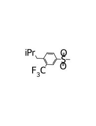 CC(C)Cc1ccc(S(C)(=O)=O)cc1C(F)(F)F